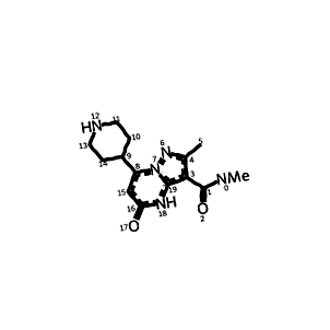 CNC(=O)c1c(C)nn2c(C3CCNCC3)cc(=O)[nH]c12